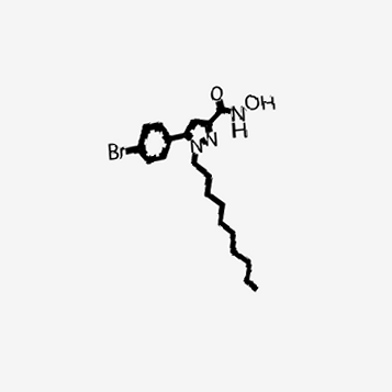 CCCCCCCCCCn1nc(C(=O)NO)cc1-c1ccc(Br)cc1